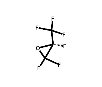 FC(F)(F)[C@]1(F)OC1(F)F